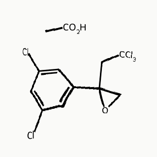 CC(=O)O.Clc1cc(Cl)cc(C2(CC(Cl)(Cl)Cl)CO2)c1